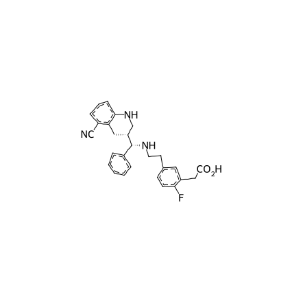 N#Cc1cccc2c1C[C@@H]([C@H](NCCc1ccc(F)c(CC(=O)O)c1)c1ccccc1)CN2